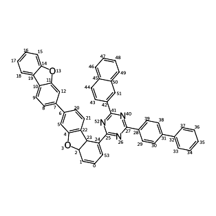 C1=CC2Oc3cc(-c4ccc5c(c4)oc4ccccc45)ccc3C2C(c2nc(-c3ccc(-c4ccccc4)cc3)nc(-c3ccc4ccccc4c3)n2)=C1